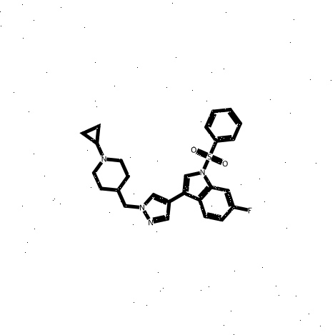 O=S(=O)(c1ccccc1)n1cc(-c2cnn(CC3CCN(C4CC4)CC3)c2)c2ccc(F)cc21